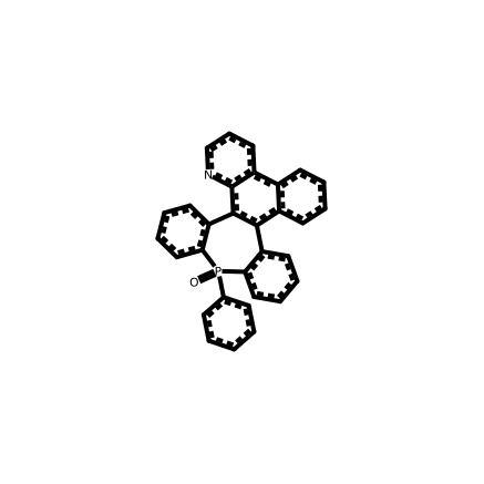 O=P1(c2ccccc2)c2ccccc2-c2c(c3ncccc3c3ccccc23)-c2ccccc21